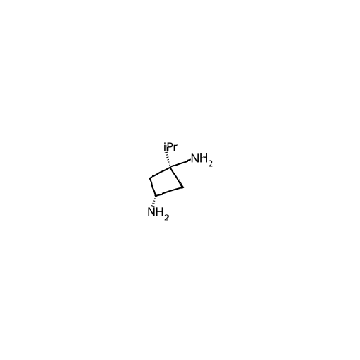 CC(C)[C@]1(N)C[C@H](N)C1